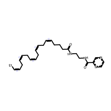 CC/C=C\C/C=C\C/C=C\C/C=C\C/C=C\CCCC(=O)NCCNC(=O)c1cnccn1